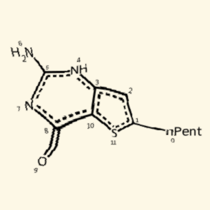 CCCCCc1cc2[nH]c(N)nc(=O)c2s1